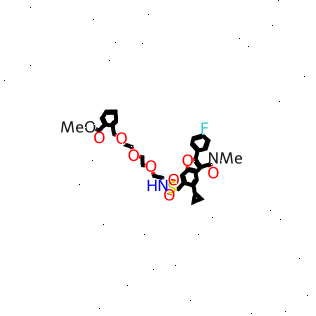 CNC(=O)c1c(-c2ccc(F)cc2)oc2cc(CS(=O)(=O)NCCOCCOCCOCc3ccccc3C(=O)OC)c(C3CC3)cc12